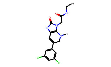 CCN1CC(c2cc(Cl)cc(Cl)c2)=Cc2[nH]c(=O)n(CC(=O)NCC(C)C)c21